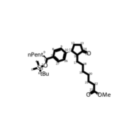 CCCCC[C@H](O[Si](C)(C)C(C)(C)C)c1ccc([C@@H]2CCC(=O)C2CCCCCCC(=O)OC)cc1